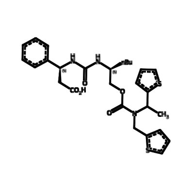 CCCC[C@@H](COC(=O)N(Cc1cccs1)C(C)c1cccs1)NC(=O)N[C@@H](CC(=O)O)c1ccccc1